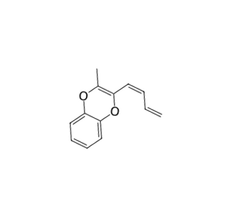 C=C/C=C\C1=C(C)Oc2ccccc2O1